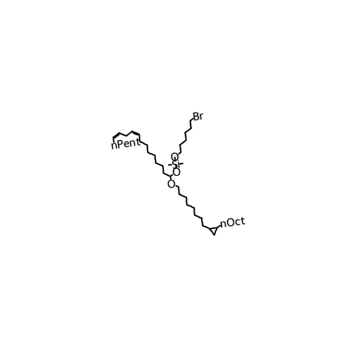 CCCCC/C=C\C/C=C\CCCCCCCC(OCCCCCCCCC1CC1CCCCCCCC)O[Si](C)(C)OCCCCCCBr